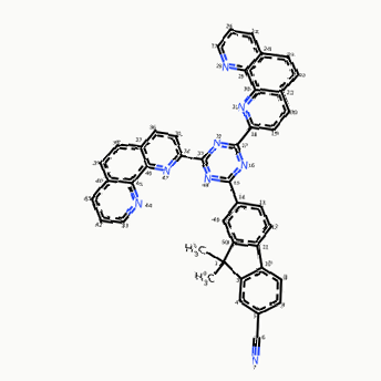 CC1(C)c2cc(C#N)ccc2-c2ccc(-c3nc(-c4ccc5ccc6cccnc6c5n4)nc(-c4ccc5ccc6cccnc6c5n4)n3)cc21